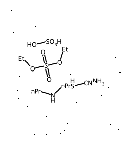 CCCNCCC.CCOS(=O)(=O)OCC.N.N#CS.O=S(=O)(O)O